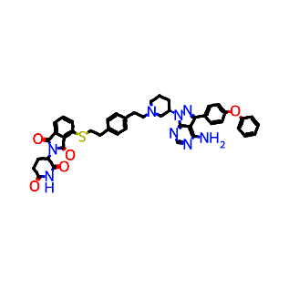 Nc1ncnc2c1c(-c1ccc(Oc3ccccc3)cc1)nn2[C@@H]1CCCN(CCc2ccc(CCSc3cccc4c3C(=O)N(C3CCC(=O)NC3=O)C4=O)cc2)C1